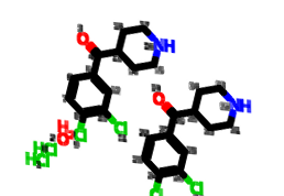 Cl.Cl.O.O=C(c1ccc(Cl)c(Cl)c1)C1CCNCC1.O=C(c1ccc(Cl)c(Cl)c1)C1CCNCC1